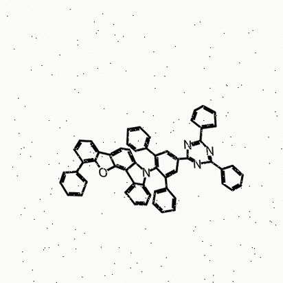 c1ccc(-c2nc(-c3ccccc3)nc(-c3cc(-c4ccccc4)c(-n4c5ccccc5c5c6oc7c(-c8ccccc8)cccc7c6ccc54)c(-c4ccccc4)c3)n2)cc1